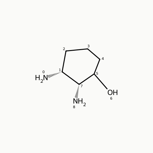 N[C@@H]1CCCC(O)[C@@H]1N